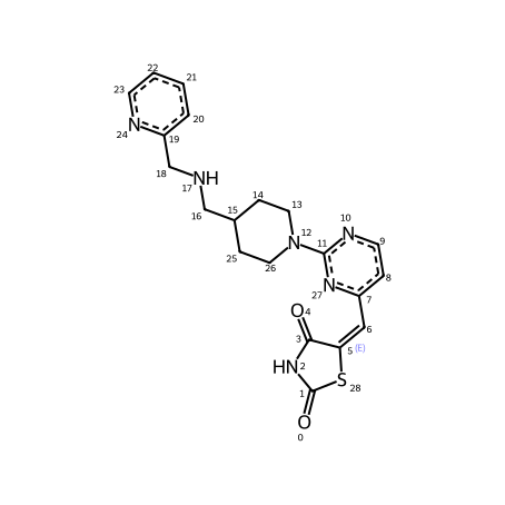 O=C1NC(=O)/C(=C\c2ccnc(N3CCC(CNCc4ccccn4)CC3)n2)S1